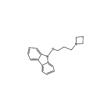 c1ccc2c(c1)c1ccccc1n2OCCCN1CCC1